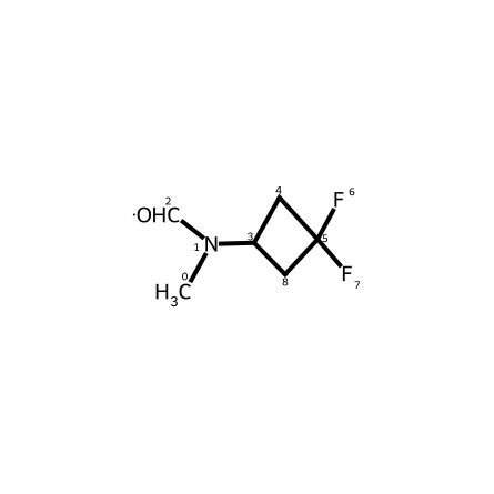 CN([C]=O)C1CC(F)(F)C1